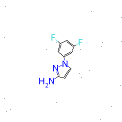 Nc1ccn(-c2cc(F)cc(F)c2)n1